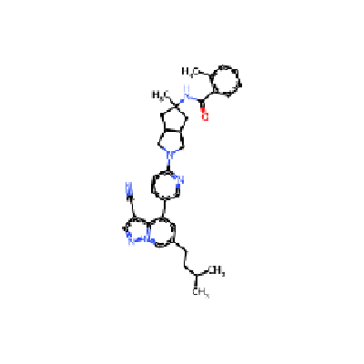 Cc1ccccc1C(=O)NC1(C)CC2CN(c3ccc(-c4cc(CCC(C)C)cn5ncc(C#N)c45)cn3)CC2C1